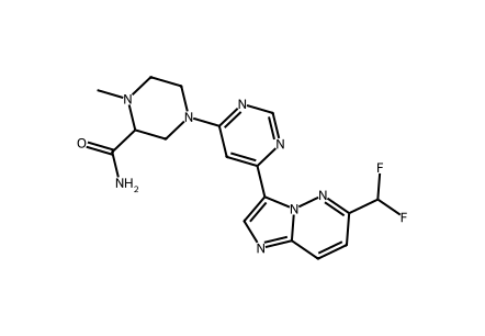 CN1CCN(c2cc(-c3cnc4ccc(C(F)F)nn34)ncn2)CC1C(N)=O